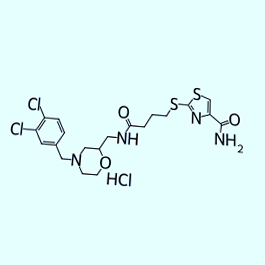 Cl.NC(=O)c1csc(SCCCC(=O)NCC2CN(Cc3ccc(Cl)c(Cl)c3)CCO2)n1